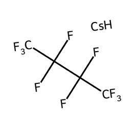 FC(F)(F)C(F)(F)C(F)(F)C(F)(F)F.[CsH]